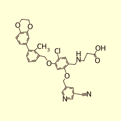 Cc1c(COc2cc(OCc3cncc(C#N)c3)c(CNCCC(=O)O)cc2Cl)cccc1-c1ccc2c(c1)OCCO2